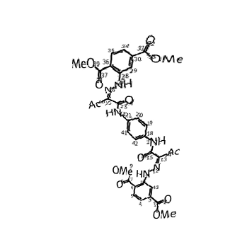 COC(=O)c1ccc(C(=O)OC)c(N/N=C(/C(C)=O)C(=O)Nc2ccc(NC(=O)/C(=N\Nc3cc(C(=O)OC)ccc3C(=O)OC)C(C)=O)cc2)c1